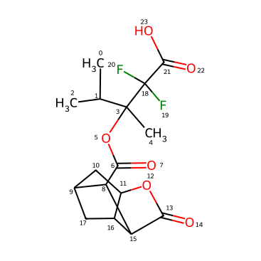 CC(C)C(C)(OC(=O)C1C2CC3OC(=O)C1C3C2)C(F)(F)C(=O)O